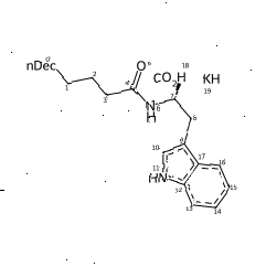 CCCCCCCCCCCCCC(=O)N[C@H](Cc1c[nH]c2ccccc12)C(=O)O.[KH]